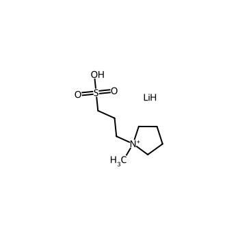 C[N+]1(CCCS(=O)(=O)O)CCCC1.[LiH]